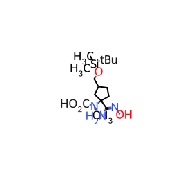 CN(C(=O)O)C1(C(N)=NO)CCC(CO[Si](C)(C)C(C)(C)C)C1